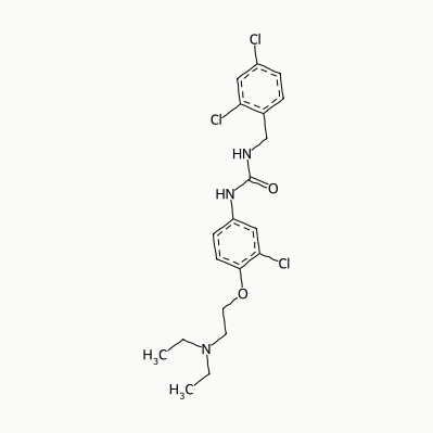 CCN(CC)CCOc1ccc(NC(=O)NCc2ccc(Cl)cc2Cl)cc1Cl